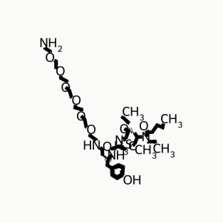 CCCCC(=O)N(CCC)C(C[C@@H](OCCC)c1nc(C(=O)N[C@H](CCNCCOCCOCCOCCOCCOCCOCCN)Cc2ccc(O)cc2)cs1)C(C)C